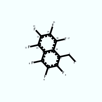 [CH2]Cc1c(F)c(F)c(F)c2c(F)c(F)c(F)c(F)c12